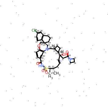 C[C@@H]1[C@@H](C)C/C=C/[C@@](O)(CC(=O)N2CCC2)[C@@H]2CC[C@H]2CN2C[C@@]3(CCCc4cc(Cl)ccc43)COc3ccc(cc32)C(=O)NS1(=O)=O